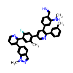 CNc1cc(-c2cc(-c3cc(F)c(-c4ncccc4-c4ccc5cnn(C)c5c4)cc3C)cnc2-c2cccc(C)c2)ccc1C=N